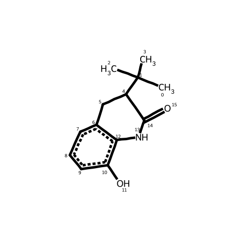 CC(C)(C)C1Cc2cccc(O)c2NC1=O